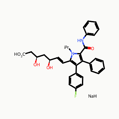 CC(C)n1c(C=C[C@@H](O)C[C@@H](O)CC(=O)O)c(-c2ccc(F)cc2)c(-c2ccccc2)c1C(=O)Nc1ccccc1.[NaH]